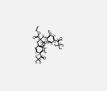 CCOC(=O)C(Cc1ccc(C(=O)C(C)(C)C)cc1F)(Cc1ccc(C(=O)C(C)(C)C)cc1F)C(=O)OCC